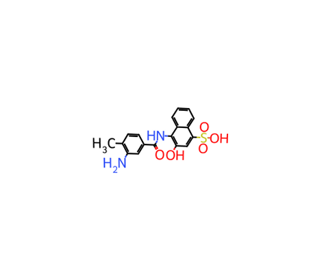 Cc1ccc(C(=O)Nc2c(O)cc(S(=O)(=O)O)c3ccccc23)cc1N